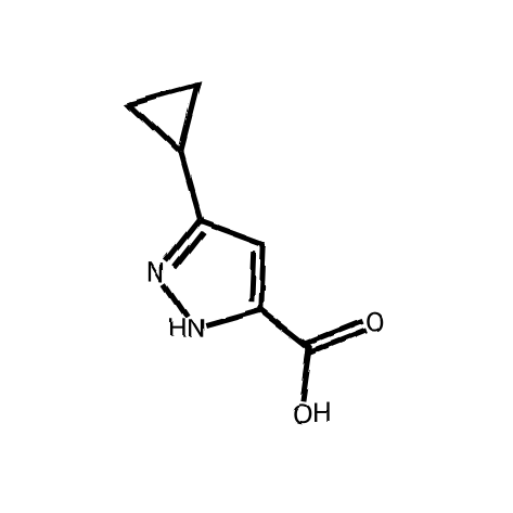 O=C(O)c1cc(C2CC2)n[nH]1